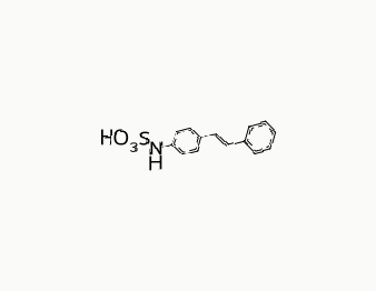 O=S(=O)(O)Nc1ccc(C=Cc2ccccc2)cc1